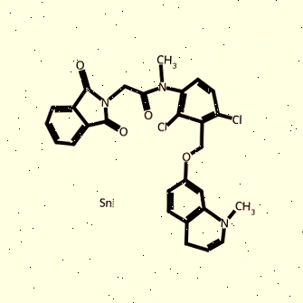 CN1C=CCc2ccc(OCc3c(Cl)ccc(N(C)C(=O)CN4C(=O)c5ccccc5C4=O)c3Cl)cc21.[Sn]